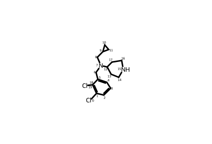 Clc1cccc(CN(CC2CC2)C2CCNCC2)c1Cl